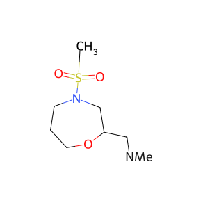 CNCC1CN(S(C)(=O)=O)CCCO1